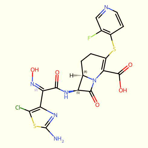 Nc1nc(/C(=N/O)C(=O)N[C@@H]2C(=O)N3C(C(=O)O)=C(Sc4ccncc4F)CC[C@H]23)c(Cl)s1